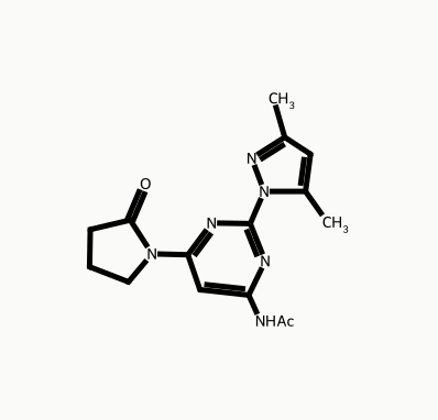 CC(=O)Nc1cc(N2CCCC2=O)nc(-n2nc(C)cc2C)n1